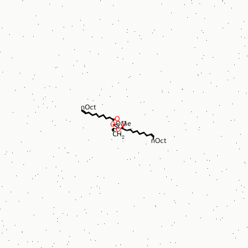 C=C[Si](OC)(OC(=O)CCCCCCC/C=C\CCCCCCCC)OC(=O)CCCCCCC/C=C\CCCCCCCC